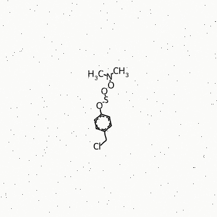 CN(C)OOSOc1ccc(CCl)cc1